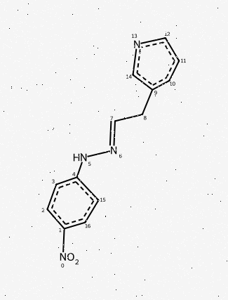 O=[N+]([O-])c1ccc(N/N=C/Cc2cccnc2)cc1